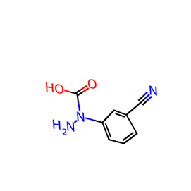 N#Cc1cccc(N(N)C(=O)O)c1